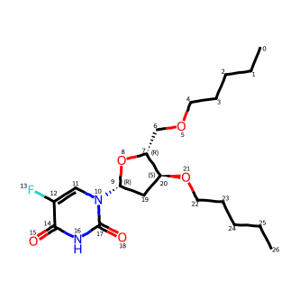 CCCCCOC[C@H]1O[C@@H](n2cc(F)c(=O)[nH]c2=O)C[C@@H]1OCCCCC